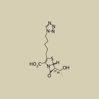 C[C@@H](O)[C@H]1C(=O)N2C(C(=O)O)=C(CCCCCn3cnnn3)S[C@H]12